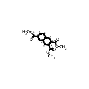 COC(=O)c1ccc2cc(C(=O)OC)c(C(=O)OC)cc2c1